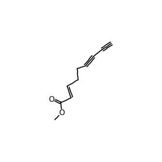 C#CC#CCCC=CC(=O)OC